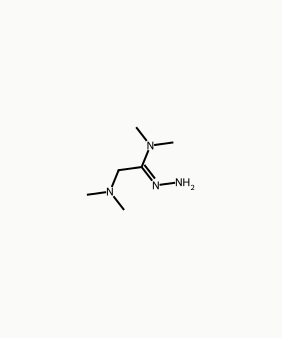 CN(C)CC(=NN)N(C)C